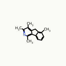 Cc1cccc2c1Cc1c(C)c(C)nc(C)c1-2